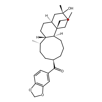 COC[C@]12CC[C@@](C)(O)C[C@@H]1CC[C@H]1[C@@H](C)CC[C@H](C(=O)c3ccc4c(c3)OCO4)CCC[C@@H]12